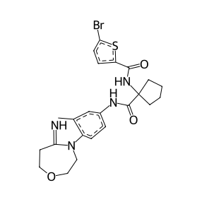 Cc1cc(NC(=O)C2(NC(=O)c3ccc(Br)s3)CCCC2)ccc1N1CCOCCC1=N